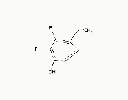 CCc1ccc(O)c(F)c1F